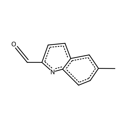 Cc1ccc2nc(C=O)ccc2c1